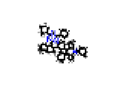 c1ccc(-c2nc(-c3ccccc3)nc(-c3c(-c4cccc5c4-c4ccccc4C54c5ccccc5N(c5ccccc5)c5ccccc54)ccc4ccccc34)n2)cc1